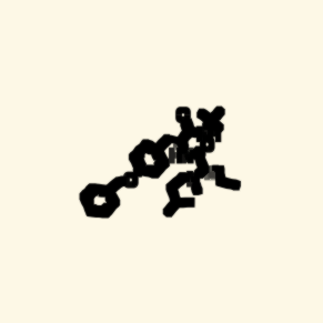 CCC[C@@H](C(=O)N[C@@H](Cc1ccc(OCc2ccccc2)cc1)C(=O)NC(C)(C)C)N(C)CCC(C)C